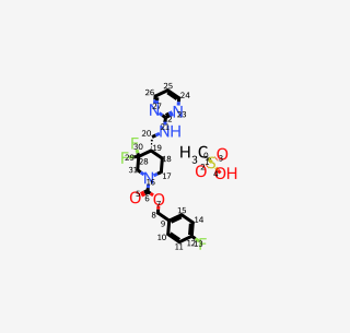 CS(=O)(=O)O.O=C(OCc1ccc(F)cc1)N1CC[C@@H](CNc2ncccn2)C(F)(F)C1